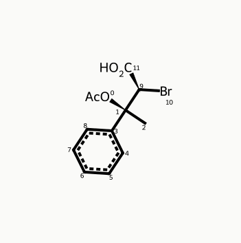 CC(=O)O[C@@](C)(c1ccccc1)[C@H](Br)C(=O)O